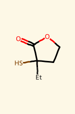 CCC1(S)CCOC1=O